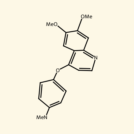 CNc1ccc(Oc2ccnc3cc(OC)c(OC)cc23)cc1